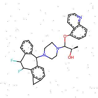 C[C@@H](O)C(Oc1cccc2ncccc12)N1CCN(C2c3ccccc3C(F)C(F)c3c2ccc2c3C2)CC1